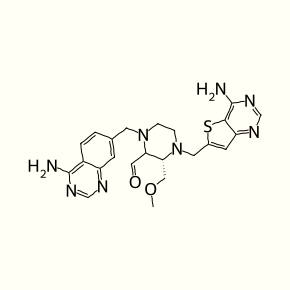 COC[C@@H]1C(C=O)N(Cc2ccc3c(N)ncnc3c2)CCN1Cc1cc2ncnc(N)c2s1